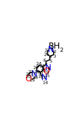 BN1CCC(CCc2noc3c(CN(C)C)c(N4CCOCC4)ccc23)CC1